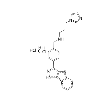 Cl.Cl.Cl.c1ccc2c(c1)sc1c(-c3ccc(CNCCCn4ccnc4)cc3)n[nH]c12